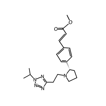 COC(=O)C=Cc1ccc([C@@H]2CCCN2CCc2nnn(C(C)C)n2)cc1